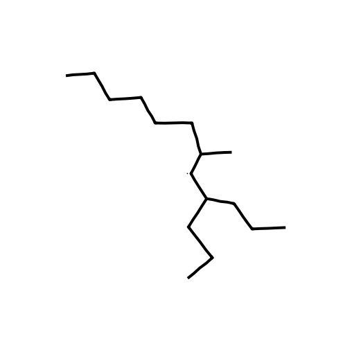 CCCCCCC(C)[CH]C(CCC)CCC